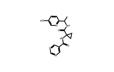 CC(NC(=O)C1(NC(=O)c2cncnc2)CC1)c1ccc(O)cn1